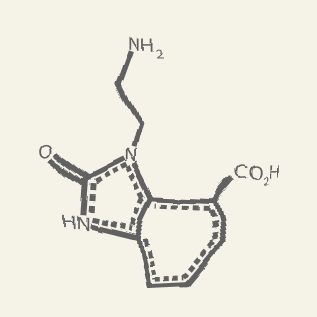 NCCn1c(=O)[nH]c2cccc(C(=O)O)c21